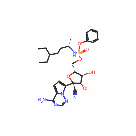 CCC(CC)CC[C@H](C)N[P@@](=O)(OC[C@H]1O[C@@](C#N)(c2ccc3c(N)ncnn23)[C@H](O)[C@@H]1O)Oc1ccccc1